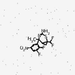 CC1(c2cc([N+](=O)[O-])cc(F)c2F)N=C(N)SC2(C(F)F)CC12